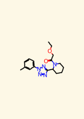 CCOCC(=O)N1CCCCC1c1nnn(-c2cccc(C)c2)n1